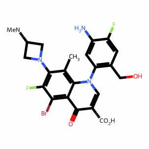 CNC1CN(c2c(F)c(Br)c3c(=O)c(C(=O)O)cn(-c4cc(N)c(F)cc4CO)c3c2C)C1